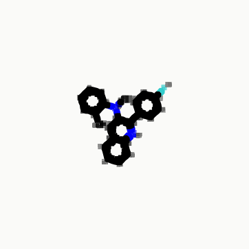 Cc1ccccc1N(C)c1cc2ccccc2nc1-c1ccc(F)cc1